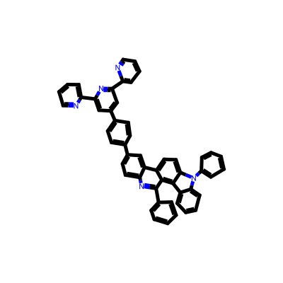 c1ccc(-c2nc3ccc(-c4ccc(-c5cc(-c6ccccn6)nc(-c6ccccn6)c5)cc4)cc3c3ccc4c(c5ccccc5n4-c4ccccc4)c23)cc1